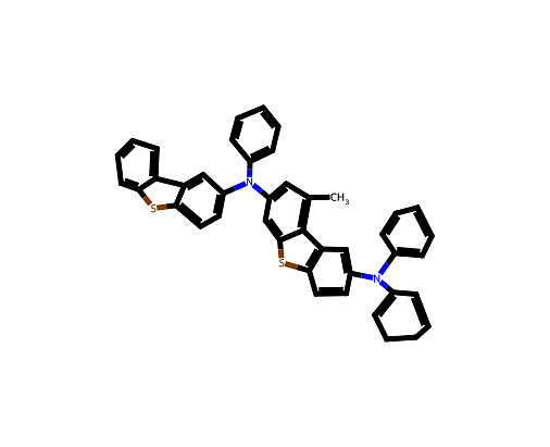 Cc1cc(N(c2ccccc2)c2ccc3sc4ccccc4c3c2)cc2sc3ccc(N(C4=CCCC=C4)c4ccccc4)cc3c12